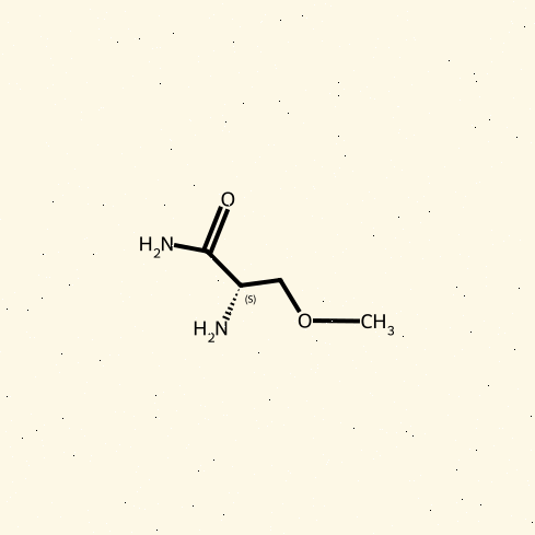 COC[C@H](N)C(N)=O